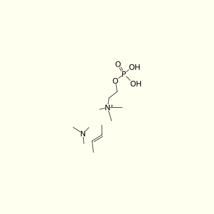 CC=CC.CN(C)C.C[N+](C)(C)CCOP(=O)(O)O